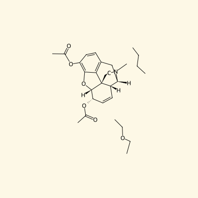 CC(=O)Oc1ccc2c3c1O[C@H]1[C@@H](OC(C)=O)C=C[C@H]4[C@@H](C2)N(C)CC[C@@]341.CCCC.CCOCC